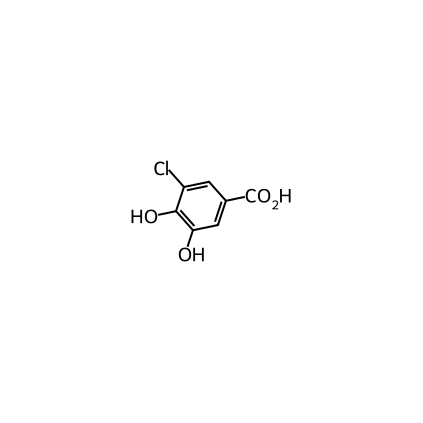 O=C(O)c1cc(O)c(O)c(Cl)c1